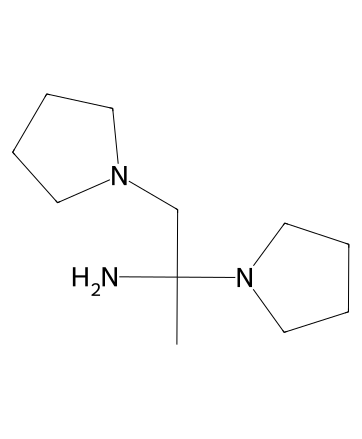 CC(N)(CN1CCCC1)N1CCCC1